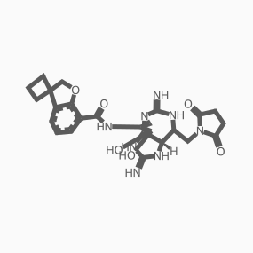 N=C1N[C@H]2C(CN3C(=O)CCC3=O)NC(=N)N3CC(NC(=O)c4cccc5c4OCC54CCC4)C(O)(O)C23N1